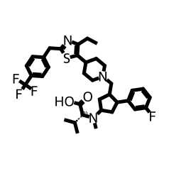 CCc1nc(Cc2ccc(C(F)(F)F)cc2)sc1C1CCN(CC2CC(N(C)[C@@H](C(=O)O)C(C)C)CC2c2cccc(F)c2)CC1